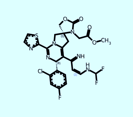 COC(=O)CN1C(=O)OC[C@@]12CC1=C(C(=N)/C=C\NC(F)F)[C@H](c3ccc(F)cc3Cl)N=C(c3nccs3)N1C2